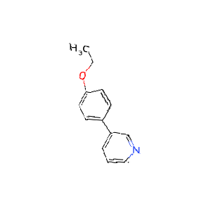 CCOc1ccc(-c2cc[c]nc2)cc1